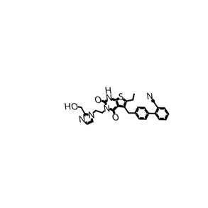 CCc1sc2[nH]c(=O)n(CCn3ccnc3CO)c(=O)c2c1Cc1ccc(-c2ccccc2C#N)cc1